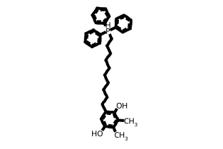 Cc1c(O)cc(CCCCCCCCCC[PH](c2ccccc2)(c2ccccc2)c2ccccc2)c(O)c1C